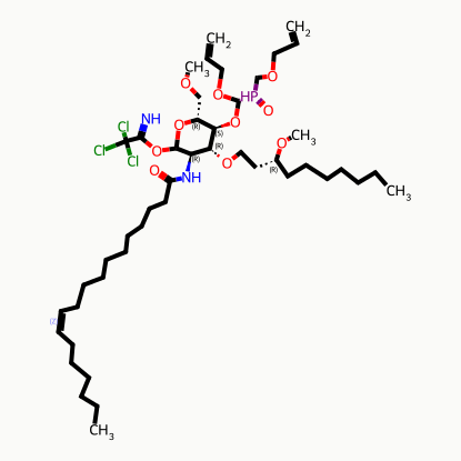 C=CCOC[PH](=O)C(OCC=C)O[C@H]1[C@H](OCC[C@@H](CCCCCCC)OC)[C@@H](NC(=O)CCCCCCCCC/C=C\CCCCCC)C(OC(=N)C(Cl)(Cl)Cl)O[C@@H]1COC